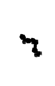 CC(=O)Nc1cccc(C#Cc2cnc3ccc(-c4ccc(C(=O)N5CCOCC5)cc4)nn23)c1